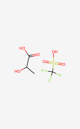 CC(O)C(=O)O.O=S(=O)(O)C(F)(F)F